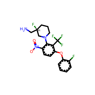 NC[C@]1(F)CCCN(c2c([N+](=O)[O-])ccc(Oc3ccccc3F)c2C(F)(F)F)C1